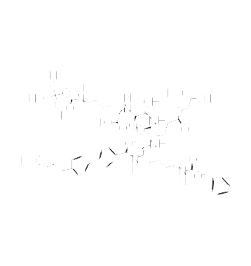 CCCCc1ccc(-c2ccc(C(=O)N[C@@H](CCCCNC(=O)OCc3ccccc3)C(=O)NC(CCC(=O)OCC(C)C)C(=O)N[C@@H](C)C(=O)N[C@@H](CCCCNC(=O)OC(C)(C)C)C(=O)O)cc2)cc1